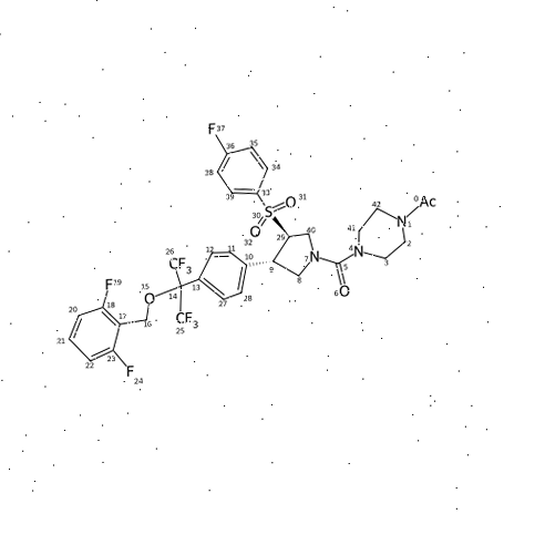 CC(=O)N1CCN(C(=O)N2C[C@H](c3ccc(C(OCc4c(F)cccc4F)(C(F)(F)F)C(F)(F)F)cc3)[C@@H](S(=O)(=O)c3ccc(F)cc3)C2)CC1